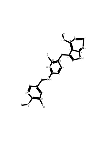 COc1ncc(CNc2ccc(Cc3c[nH]c4ncnc(OC)c34)c(F)n2)cc1F